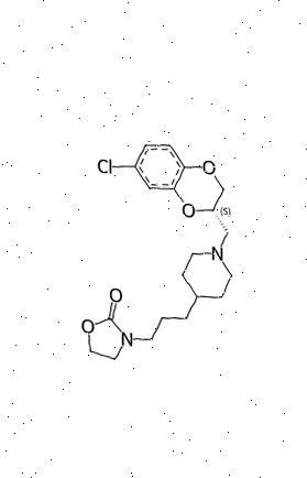 O=C1OCCN1CCCC1CCN(C[C@H]2COc3ccc(Cl)cc3O2)CC1